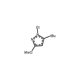 CCn1nc(OC)cc1C(C)(C)C